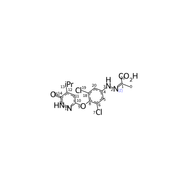 C/C(=N/Nc1cc(Cl)c(Oc2cc(C(C)C)c(=O)[nH]n2)c(Cl)c1)C(=O)O